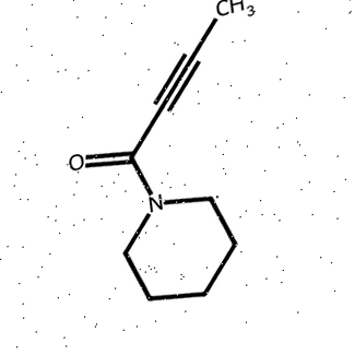 CC#CC(=O)N1[CH]CCCC1